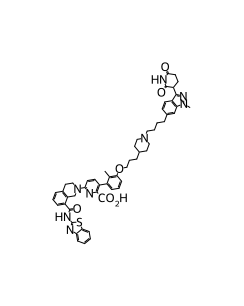 Cc1c(OCCCC2CCN(CCCCc3ccc4c(C5CCC(=O)NC5=O)nn(C)c4c3)CC2)cccc1-c1ccc(N2CCc3cccc(C(=O)Nc4nc5ccccc5s4)c3C2)nc1C(=O)O